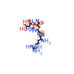 CC(O)C(NC(=O)N[C@@H](CCC(N)=O)c1nc([C@@H](N)CCCNC(=N)N)no1)C(=O)O